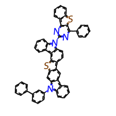 c1ccc(-c2cccc(-n3c4ccccc4c4cc5c(cc43)sc3c5ccc4c3c3ccccc3n4-c3nc(-c4ccccc4)c4sc5ccccc5c4n3)c2)cc1